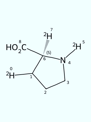 [2H]C1CCN([2H])[C@]1([2H])C(=O)O